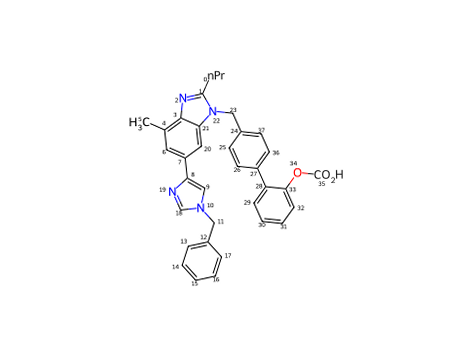 CCCc1nc2c(C)cc(-c3cn(Cc4ccccc4)cn3)cc2n1Cc1ccc(-c2ccccc2OC(=O)O)cc1